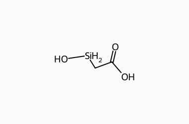 O=C(O)C[SiH2]O